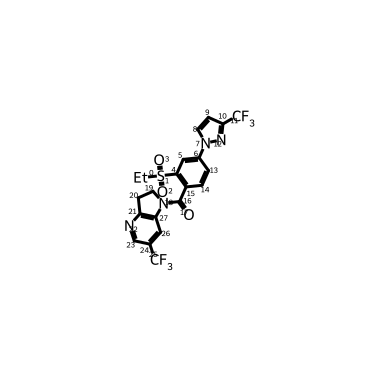 CCS(=O)(=O)c1cc(-n2ccc(C(F)(F)F)n2)ccc1C(=O)N1CCc2ncc(C(F)(F)F)cc21